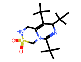 CC(C)(C)C1=NC(C(C)(C)C)C(C(C)(C)C)=C2CNS(=O)(=O)CN12